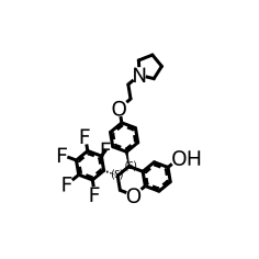 Oc1ccc2c(c1)[C@H](c1ccc(OCCN3CCCC3)cc1)[C@@H](c1c(F)c(F)c(F)c(F)c1F)CO2